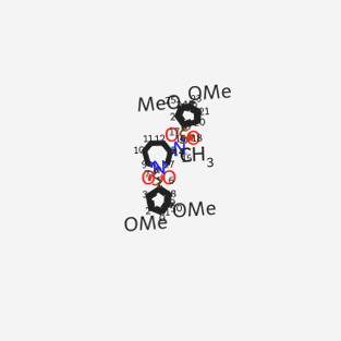 COc1ccc(S(=O)(=O)N2CCCCC(N(C)S(=O)(=O)c3ccc(OC)c(OC)c3)C2)cc1OC